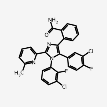 Cc1cccc(-c2nc(-c3ccccc3C(N)=O)c(-c3ccc(F)c(Cl)c3)n2-c2cccc(Cl)c2F)n1